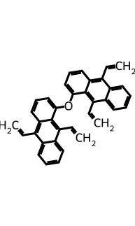 C=Cc1c2ccccc2c(C=C)c2c(Oc3cccc4c(C=C)c5ccccc5c(C=C)c34)cccc12